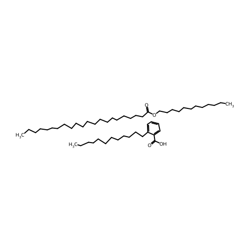 CCCCCCCCCCCCCCCCCCCCCC(=O)OCCCCCCCCCCCC.CCCCCCCCCCCCc1ccccc1C(=O)O